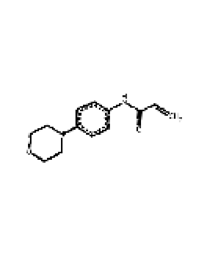 C=CC(=O)Nc1[c]cc(N2CCOCC2)cc1